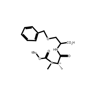 C[C@@H](C(=O)NC(COCc1ccccc1)C(=O)O)N(C)C(=O)OC(C)(C)C